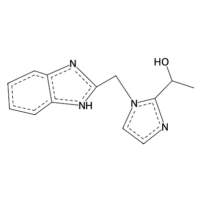 CC(O)c1nccn1Cc1nc2ccccc2[nH]1